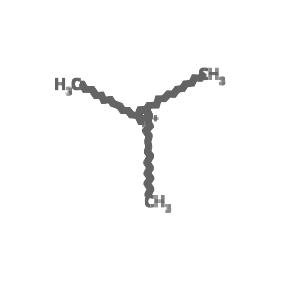 CCCCCCCCCCCCCCC[n+]1cc(CCCCCCCCCCCCC)cc(CCCCCCCCCCCCC)c1